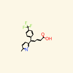 Cc1ccc(C(=CC=CC(=O)O)c2ccc(C(F)(F)F)cc2)cn1